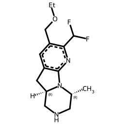 CCOCc1cc2c(nc1C(F)F)N1[C@@H](CNC[C@H]1C)C2